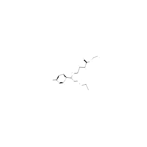 CCOOCC(NCCCC(=O)OCC)c1ccc(F)cc1